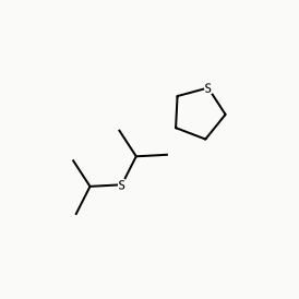 C1CCSC1.CC(C)SC(C)C